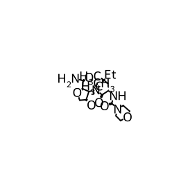 CCC(C)(C)C[C@H](NC(=O)N1CCOCC1)C(=O)N(C)C1C(=O)COC1C(N)=O